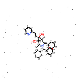 CC1(C)[C@@](O)(C=Cc2ccccn2)[C@]1(O)C(CC1CCCCC1)N(Cc1ccccc1)Cc1ccccc1